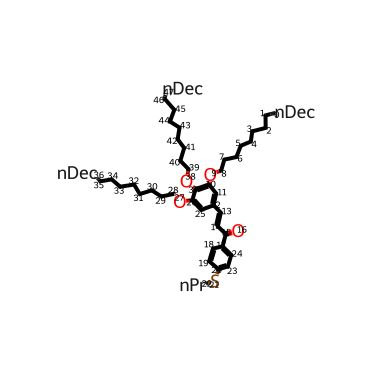 CCCCCCCCCCCCCCCCCCOc1cc(/C=C/C(=O)c2ccc(SCCC)cc2)cc(OCCCCCCCCCCCCCCCCCC)c1OCCCCCCCCCCCCCCCCCC